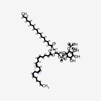 CCCCC/C=C\C/C=C\C/C=C\C/C=C\CCCC(=O)O[C@H](COC(=O)CCCCCCCCCCCCCCCC)COP(=O)(O)O[C@H]1C(O)C(OP(=O)(O)O)C(O)[C@@H](O)C1O